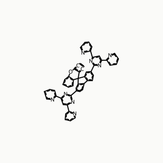 c1ccc(-c2cc(-c3ccccn3)nc(-c3ccc4c(c3)C3(c5ccccc5Oc5ccccc53)c3cc(-c5nc(-c6ccccn6)cc(-c6ccccn6)n5)ccc3-4)n2)nc1